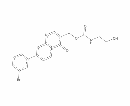 O=C(NCCO)OCc1cnc2cc(-c3cccc(Br)c3)ccn2c1=O